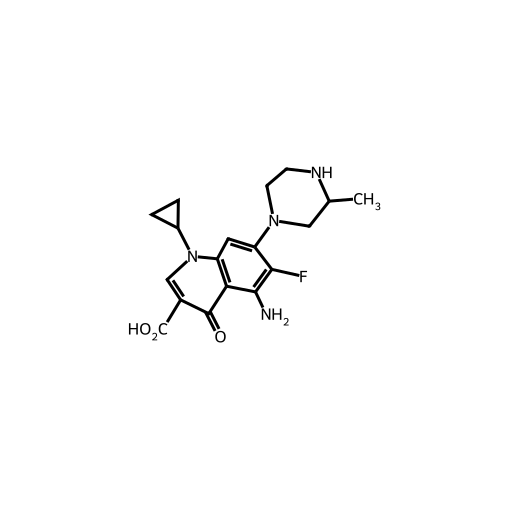 CC1CN(c2cc3c(c(N)c2F)c(=O)c(C(=O)O)cn3C2CC2)CCN1